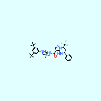 CC(C)(CNC(=O)c1cnn2c1NC(c1ccccc1)CC2C(F)(F)F)CNc1cc(C(C)(C)C)cc(C(C)(C)C)c1